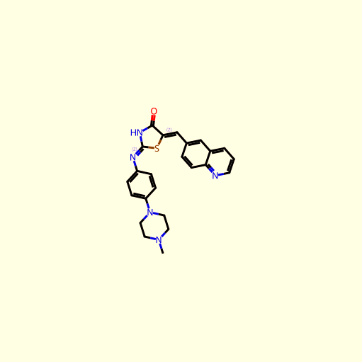 CN1CCN(c2ccc(/N=C3/NC(=O)/C(=C/c4ccc5ncccc5c4)S3)cc2)CC1